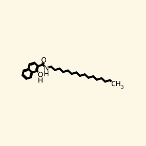 CCCCCCCCCCCCCCCCNC(=O)c1ccc2ccccc2c1O